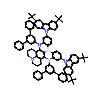 CC(C)(C)c1ccc2c(c1)c1cc(C(C)(C)C)ccc1n2-c1ccc2c(c1)N(c1cc(-c3ccccc3)cc(-c3ccccc3)c1)c1c3c4c(c5c1B2c1ccc(-n2c6ccc(C(C)(C)C)cc6c6cc(C(C)(C)C)ccc62)cc1N5c1cc(-c2ccccc2)cc(-c2ccccc2)c1)CCCN4CCC3